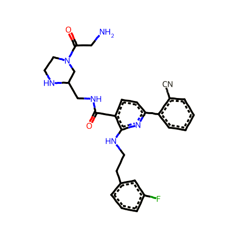 N#Cc1ccccc1-c1ccc(C(=O)NCC2CN(C(=O)CN)CCN2)c(NCCc2cccc(F)c2)n1